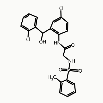 Cc1ccccc1S(=O)(=O)NCC(=O)Nc1ccc(Cl)cc1C(O)c1ccccc1Cl